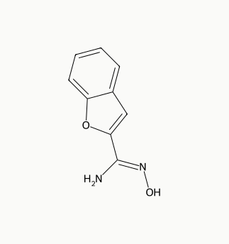 NC(=NO)c1cc2ccccc2o1